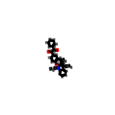 CN1c2ccccc2C(C)(C)C12C=Cc1cc(C(=O)C(=O)c3ccccc3)ccc1O2